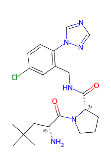 CC(C)(C)C[C@@H](N)C(=O)N1CCC[C@H]1C(=O)NCc1cc(Cl)ccc1-n1cncn1